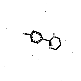 [NH]c1ccc(C2=NCCCN2)cc1